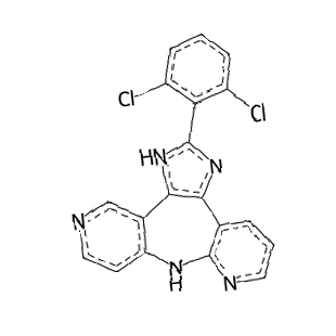 Clc1cccc(Cl)c1-c1nc2c([nH]1)-c1cnccc1Nc1ncccc1-2